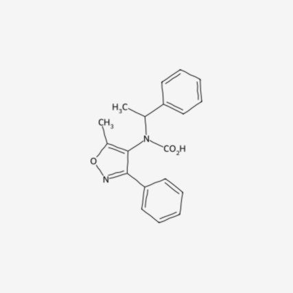 Cc1onc(-c2ccccc2)c1N(C(=O)O)C(C)c1ccccc1